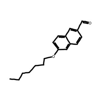 CCCCCCCOc1ccc2cc(C=O)ccc2c1